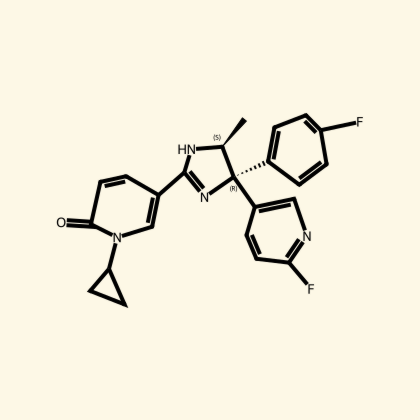 C[C@@H]1NC(c2ccc(=O)n(C3CC3)c2)=N[C@]1(c1ccc(F)cc1)c1ccc(F)nc1